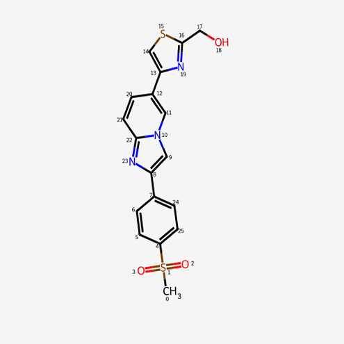 CS(=O)(=O)c1ccc(-c2cn3cc(-c4csc(CO)n4)ccc3n2)cc1